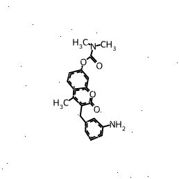 Cc1c(Cc2cccc(N)c2)c(=O)oc2cc(OC(=O)N(C)C)ccc12